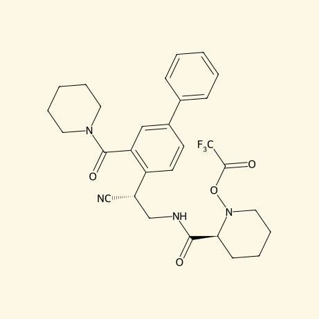 N#C[C@@H](CNC(=O)[C@@H]1CCCCN1OC(=O)C(F)(F)F)c1ccc(-c2ccccc2)cc1C(=O)N1CCCCC1